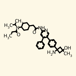 CCC(=O)N(C(C)C)C1CCC(CC(=O)Nc2cc(-c3ccccc3)c(-c3ccc(C4(N)CC(C)(O)C4)cc3)cn2)CC1